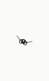 CCCCCC=CCOC(=O)/C=C\C(=O)OCC=CCCCCC